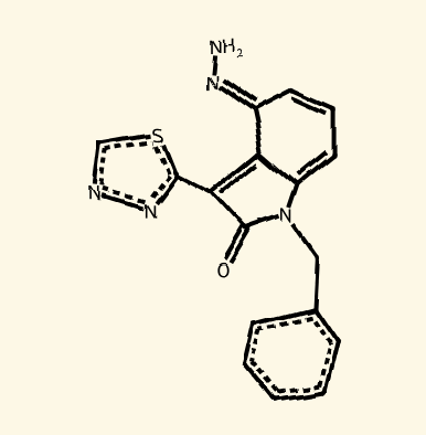 NN=C1C=CC=C2C1=C(c1nncs1)C(=O)N2Cc1ccccc1